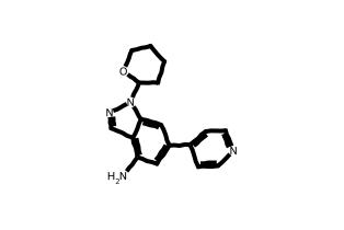 Nc1cc(-c2ccncc2)cc2c1cnn2C1CCCCO1